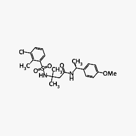 COc1ccc([C@H](C)NC(=O)CC(C)(C)NS(=O)(=O)c2cccc(Cl)c2C)cc1